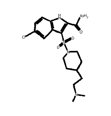 CN(C)CCC1CCN(S(=O)(=O)c2c(C(=O)[AsH2])[nH]c3ccc(Cl)cc23)CC1